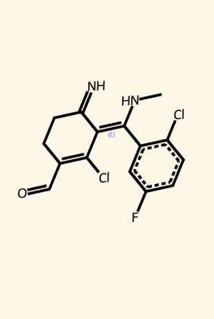 CN/C(=C1\C(=N)CCC(C=O)=C1Cl)c1cc(F)ccc1Cl